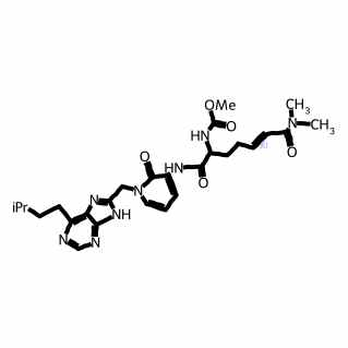 COC(=O)NC(CC/C=C/C(=O)N(C)C)C(=O)Nc1cccn(Cc2nc3c(CCC(C)C)ncnc3[nH]2)c1=O